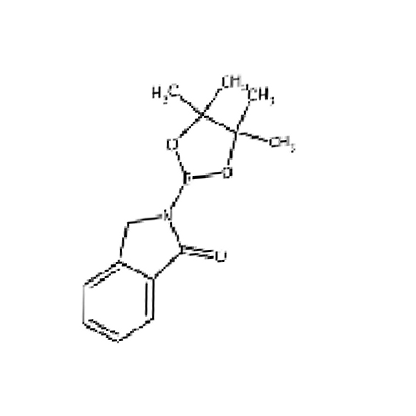 CC1(C)OB(N2Cc3ccccc3C2=O)OC1(C)C